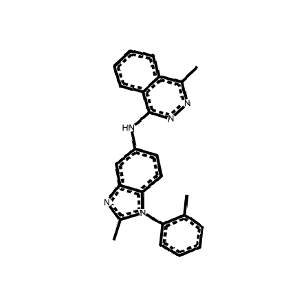 Cc1ccccc1-n1c(C)nc2cc(Nc3nnc(C)c4ccccc34)ccc21